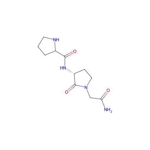 NC(=O)CN1CC[C@@H](NC(=O)C2CCCN2)C1=O